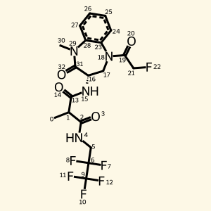 CC(C(=O)NCC(F)(F)C(F)(F)F)C(=O)N[C@H]1CN(C(=O)CF)c2ccccc2N(C)C1=O